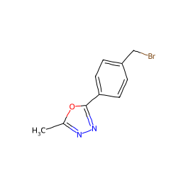 Cc1nnc(-c2ccc(CBr)cc2)o1